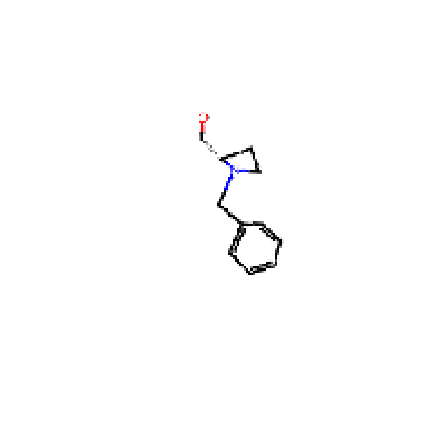 [O]C[C@@H]1CCN1Cc1ccccc1